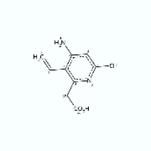 C=Cc1c(N)cc(Cl)nc1CC(=O)O